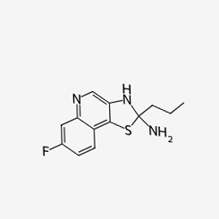 CCCC1(N)Nc2cnc3cc(F)ccc3c2S1